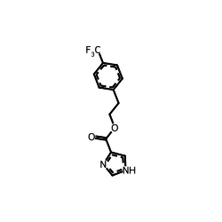 O=C(OCCc1ccc(C(F)(F)F)cc1)c1c[nH]cn1